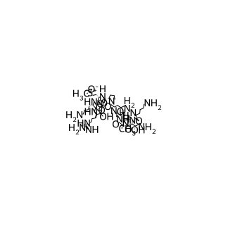 C[C@H](NC(=O)[C@@H](NC(=O)[C@@H](N)CCCCN)[C@@H](O)CN)C(=O)NCC(=O)/N=C(\CCCN)C(=O)N1CCC[C@H]1C(=O)N[C@@H](CC[S+](C)[O-])C(=O)N[C@@H](CCCCN)C(=O)N/C(=C\CCNC(=N)N)C(=O)O